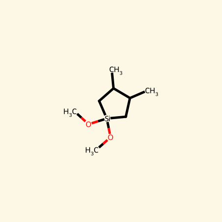 CO[Si]1(OC)CC(C)C(C)C1